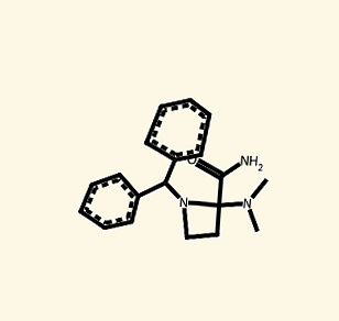 CN(C)C1(C(N)=O)CCN1C(c1ccccc1)c1ccccc1